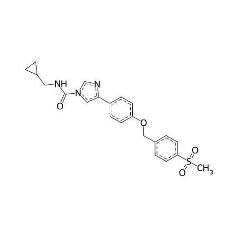 CS(=O)(=O)c1ccc(COc2ccc(-c3cn(C(=O)NCC4CC4)cn3)cc2)cc1